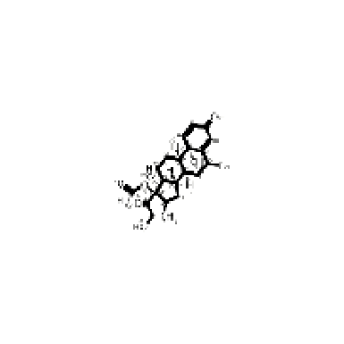 CC(=O)O[C@]1(C(=O)CO)C(C)C[C@H]2[C@@H]3CC(F)C4=CC(=O)C=C[C@]4(C)[C@H]3CC[C@@]21C